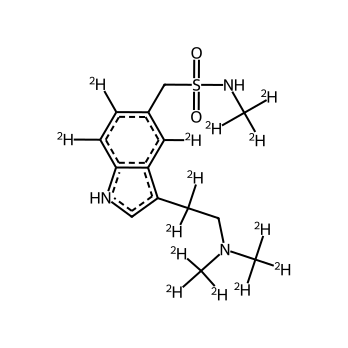 [2H]c1c(CS(=O)(=O)NC([2H])([2H])[2H])c([2H])c2c(C([2H])([2H])CN(C([2H])([2H])[2H])C([2H])([2H])[2H])c[nH]c2c1[2H]